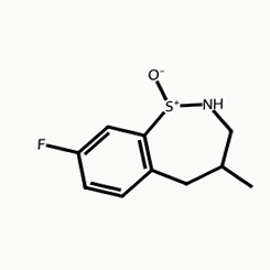 CC1CN[S+]([O-])c2cc(F)ccc2C1